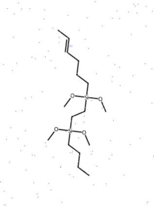 C/C=C/CCC[Si](CC[Si](CCCC)(OC)OC)(OC)OC